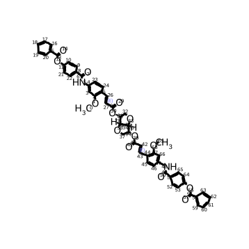 COc1cc(NC(=O)c2ccc(OC(=O)c3ccccc3)cc2)ccc1/C=C/C(=O)O[C@H]1CO[C@H]2[C@@H]1OC[C@H]2OC(=O)/C=C/c1ccc(NC(=O)c2ccc(OC(=O)c3ccccc3)cc2)cc1OC